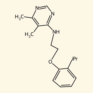 Cc1ncnc(NCCOc2ccccc2C(C)C)c1C